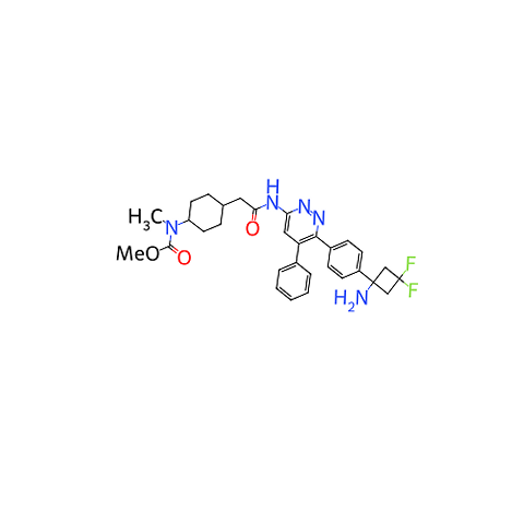 COC(=O)N(C)C1CCC(CC(=O)Nc2cc(-c3ccccc3)c(-c3ccc(C4(N)CC(F)(F)C4)cc3)nn2)CC1